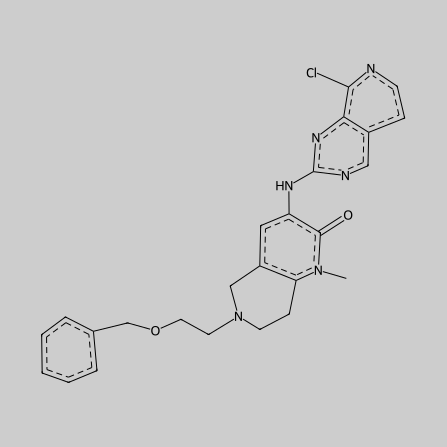 Cn1c2c(cc(Nc3ncc4ccnc(Cl)c4n3)c1=O)CN(CCOCc1ccccc1)CC2